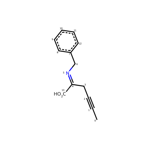 CC#CCC(=NCc1ccccc1)C(=O)O